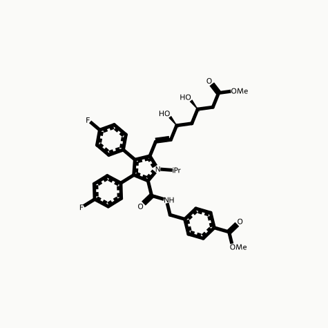 COC(=O)C[C@H](O)C[C@H](O)C=Cc1c(-c2ccc(F)cc2)c(-c2ccc(F)cc2)c(C(=O)NCc2ccc(C(=O)OC)cc2)n1C(C)C